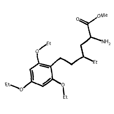 CCOc1cc(OCC)c(CCC(CC)CC(N)C(=O)OC)c(OCC)c1